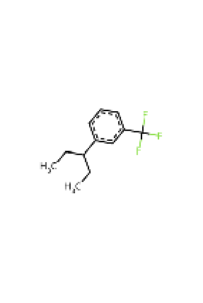 CCC(CC)c1cccc(C(F)(F)F)c1